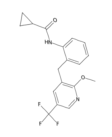 COc1ncc(C(F)(F)F)cc1Cc1ccccc1NC(=O)C1CC1